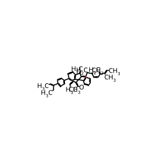 C=C(/C=C\C(=C)/C(C)=C/C)C(=C)/C=C1\C(=C)c2ccc(-c3ccc(/C(=C/C)CC)cc3)cc2C12C(/C=C\C)=C(C)Oc1ccccc12